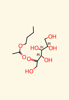 CCCCOC(C)=O.O=C(CO)[C@H](O)[C@@H](O)[C@H](O)CO